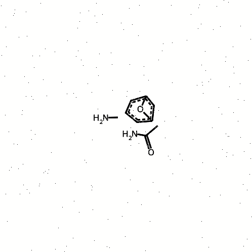 CC(N)=O.CN.c1cc2cc(c1)O2